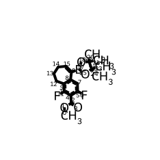 COC(=O)c1c(F)cc2c(c1F)CCCC=C2B1OC(C)(C)C(C)(C)O1